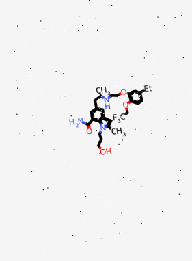 CCc1ccc(OCC(F)(F)F)c(OCCN[C@H](C)Cc2cc(C(N)=O)c3c(c2)cc(C)n3CCCO)c1